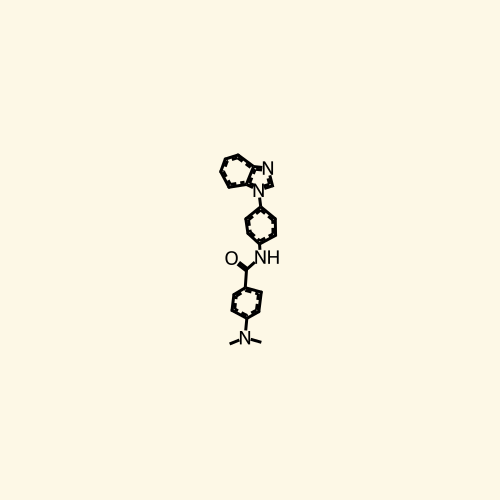 CN(C)c1ccc(C(=O)Nc2ccc(-n3cnc4ccccc43)cc2)cc1